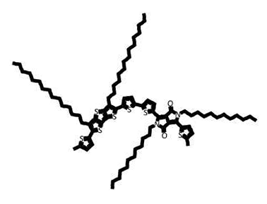 CCCCCCCCCCCCCCCc1c(-c2ccc(C)s2)sc2c1sc1c(CCCCCCCCCCCCCCC)c(-c3ccc(-c4ccc(C5=C6C(=O)N(CCCCCCCCCCCC)C(c7ccc(C)s7)=C6C(=O)N5CCCCCCCCCCCC)s4)s3)sc12